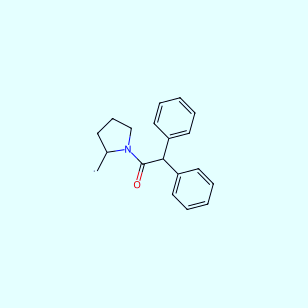 [CH2]C1CCCN1C(=O)C(c1ccccc1)c1ccccc1